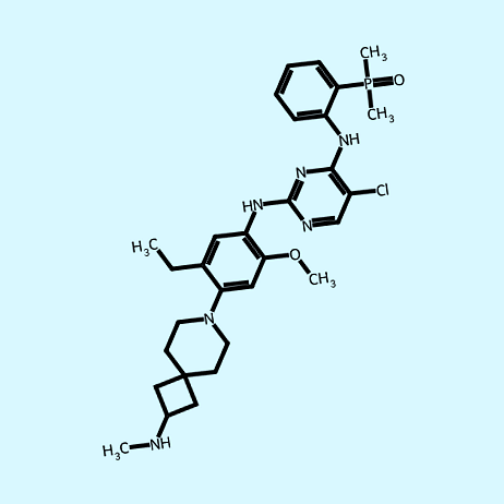 CCc1cc(Nc2ncc(Cl)c(Nc3ccccc3P(C)(C)=O)n2)c(OC)cc1N1CCC2(CC1)CC(NC)C2